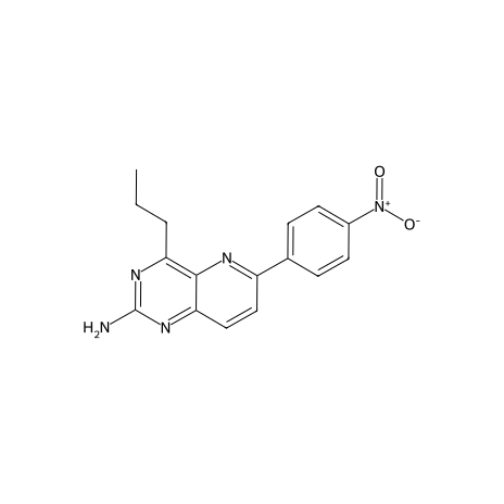 CCCc1nc(N)nc2ccc(-c3ccc([N+](=O)[O-])cc3)nc12